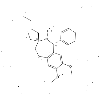 CCCC[C@]1(CC)CSc2cc(OC)c(OC)cc2[C@@H](c2ccccc2)N1O